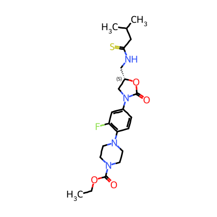 CCOC(=O)N1CCN(c2ccc(N3C[C@H](CNC(=S)CC(C)C)OC3=O)cc2F)CC1